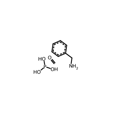 C=O.NCc1ccccc1.OP(O)O